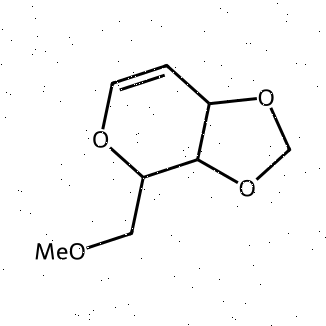 COCC1OC=CC2OCOC21